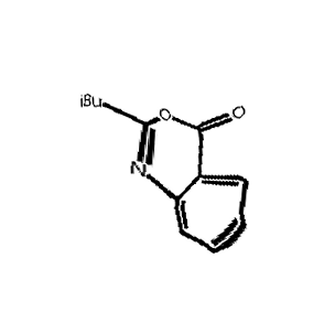 CCC(C)c1nc2ccccc2c(=O)o1